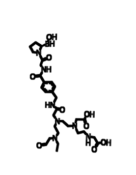 CCN(CC=O)CCN(CCN(CCNCC(=O)O)CC(=O)O)CC(=O)NCc1ccc(C(=O)NCC(=O)N2CCC[C@H]2BO)cc1